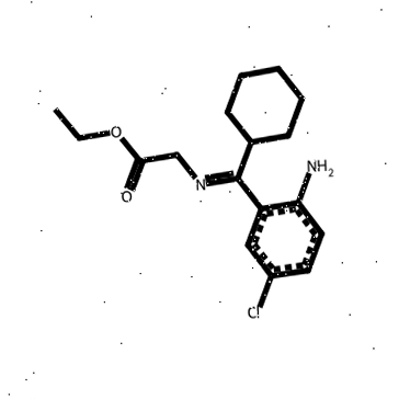 CCOC(=O)CN=C(c1cc(Cl)ccc1N)C1CCCCC1